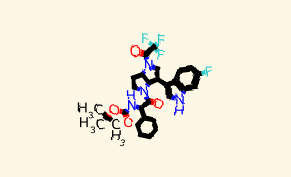 CC(C)(C)OC(=O)NC(C(=O)N1CCC2C1C(c1c[nH]c3cc(F)ccc13)CN2C(=O)C(F)(F)F)C1CCCCC1